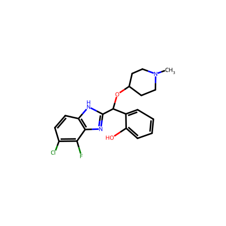 CN1CCC(OC(c2nc3c(F)c(Cl)ccc3[nH]2)c2ccccc2O)CC1